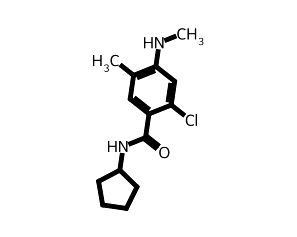 CNc1cc(Cl)c(C(=O)NC2CCCC2)cc1C